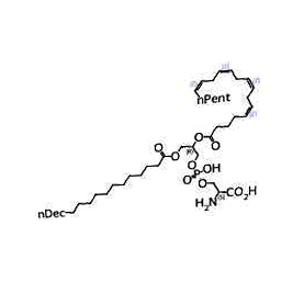 CCCCC/C=C\C/C=C\C/C=C\C/C=C\CCCC(=O)O[C@H](COC(=O)CCCCCCCCCCCCCCCCCCCCC)COP(=O)(O)OC[C@H](N)C(=O)O